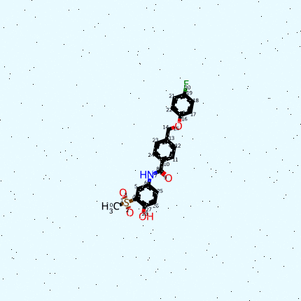 CS(=O)(=O)c1cc(NC(=O)c2ccc(COc3ccc(F)cc3)cc2)ccc1O